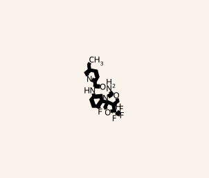 CCc1ccc(C(=O)Nc2ccc(F)c(C34CO[C@H](C(F)(F)F)[C@H]3COC(N)=N4)c2)nc1